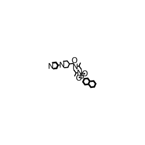 CC1CN(S(=O)(=O)c2ccc3ccccc3c2)C(C)CN1C(=O)C1CCN(c2ccncc2)CC1